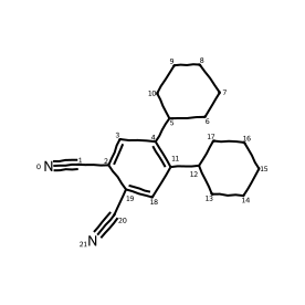 N#Cc1cc(C2CCCCC2)c(C2CCCCC2)cc1C#N